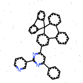 c1ccc(-c2cc(-c3ccc4c(c3)-c3ccccc3-c3ccccc3C43c4ccccc4-c4ccccc43)nc(-c3cccnc3)n2)cc1